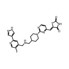 O=C1NC(=O)/C(=C/c2ccnc(N3CCC(CNCc4cc(-c5cn[nH]c5)ncc4F)CC3)n2)S1